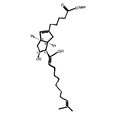 COC(=O)CCCCC1=C[C@@H]2C[C@H](O)[C@H](C(O)=CCCCCCCC=C(C)C)[C@@H]2C1